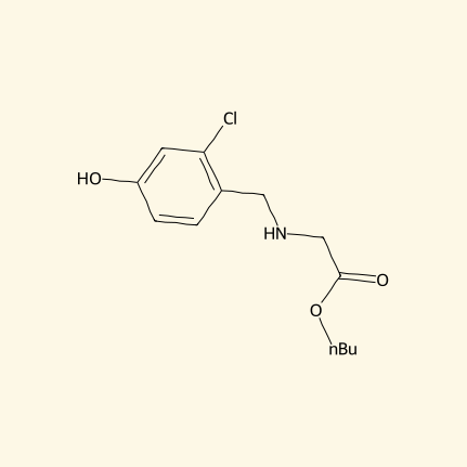 CCCCOC(=O)CNCc1ccc(O)cc1Cl